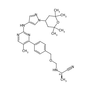 Cc1cnc(Nc2cnn(C3CC(C)(C)OC(C)(C)C3)c2)nc1-c1ccc(COCN[C@H](C)C#N)cc1